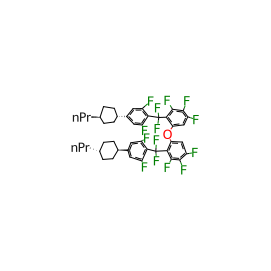 CCC[C@H]1CC[C@H](c2cc(F)c(C(F)(F)c3c(Oc4cc(F)c(F)c(F)c4C(F)(F)c4c(F)cc([C@H]5CC[C@H](CCC)CC5)cc4F)cc(F)c(F)c3F)c(F)c2)CC1